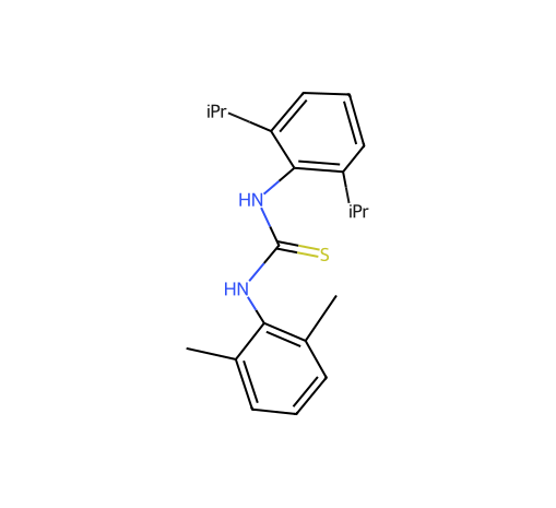 Cc1cccc(C)c1NC(=S)Nc1c(C(C)C)cccc1C(C)C